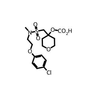 CN(CCOc1ccc(Cl)cc1)S(=O)(=O)CC1(OC(=O)O)CCOCC1